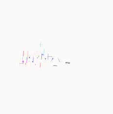 CC(C)(C)C#Cc1ccc(C(=O)N[C@H](C(=O)NO)C(C)(O)C(F)F)cc1